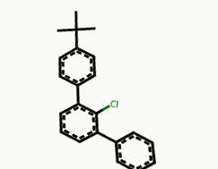 CC(C)(C)c1ccc(-c2cccc(-c3ccccc3)c2Cl)cc1